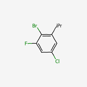 CC(C)c1cc(Cl)cc(F)c1Br